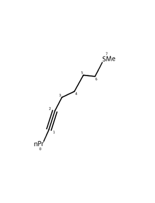 [CH2]CCC#CCCCCSC